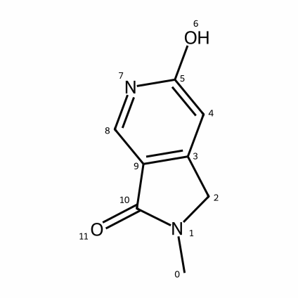 CN1Cc2cc(O)ncc2C1=O